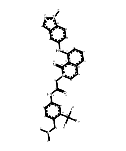 CN(C)Cc1ccc(NC(=O)Cn2ccc3cccc(Nc4ccc5c(cnn5C)c4)c3c2=O)cc1C(F)(F)F